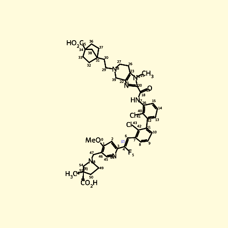 COc1cc(/C(F)=C/c2cccc(-c3cccc(NC(=O)c4nc5c(n4C)CCN(CCC46CCC(C(=O)O)(CC4)C6)C5)c3Cl)c2Cl)ncc1CN1CC[C@@](C)(C(=O)O)C1